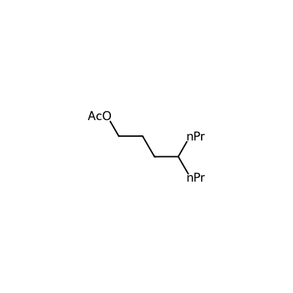 CCCC(CCC)CCCOC(C)=O